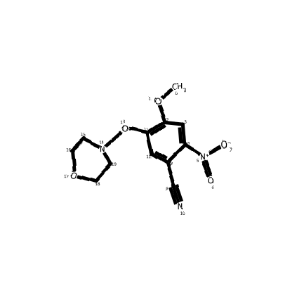 COc1cc([N+](=O)[O-])c(C#N)cc1ON1CCOCC1